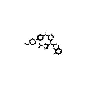 CCN1CCN(c2ccc(Nc3cc(N(C(=O)Nc4c(C)cccc4C)c4cnn(C(C)C)c4)ncn3)cc2)CC1